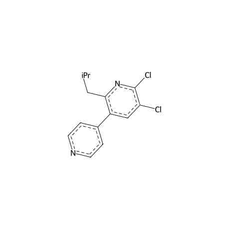 CC(C)Cc1nc(Cl)c(Cl)cc1-c1ccncc1